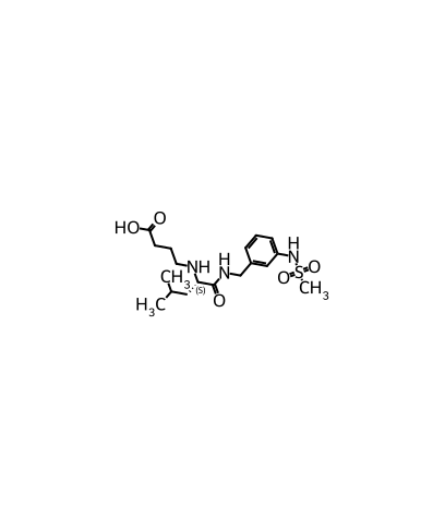 CC(C)C[C@H](NCCCC(=O)O)C(=O)NCc1cccc(NS(C)(=O)=O)c1